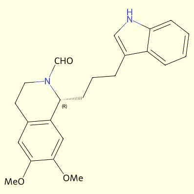 COc1cc2c(cc1OC)[C@@H](CCCc1c[nH]c3ccccc13)N(C=O)CC2